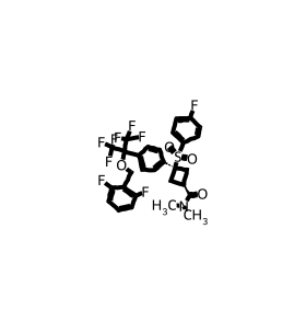 CN(C)C(=O)[C@H]1C[C@@](c2ccc(C(OCc3c(F)cccc3F)(C(F)(F)F)C(F)(F)F)cc2)(S(=O)(=O)c2ccc(F)cc2)C1